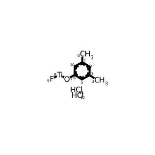 Cc1cc(C)cc([O][Ti][F])c1.Cl.Cl